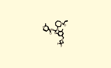 C=CC(=O)N1CCCCC(n2c(NC(=O)c3ccnc(C)c3)nc3cc(CN4CC(F)(F)C4)cc(C)c32)C1